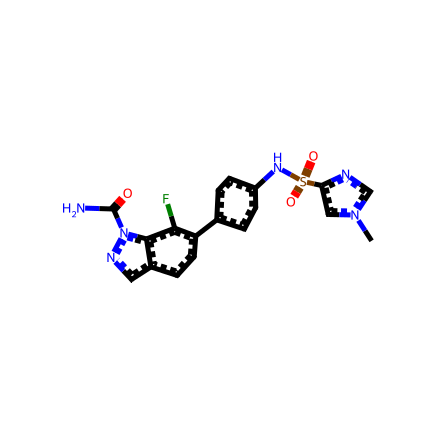 Cn1cnc(S(=O)(=O)Nc2ccc(-c3ccc4[c]nn(C(N)=O)c4c3F)cc2)c1